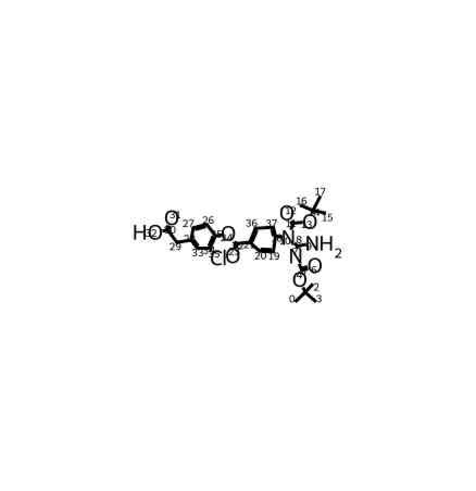 CC(C)(C)OC(=O)N=C(N)N(C(=O)OC(C)(C)C)c1ccc(C(=O)Oc2ccc(CC(=O)O)cc2Cl)cc1